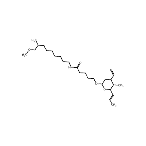 CC=CC1OC(OCCCCC(=O)NCCCCCCCC(C)COC)CC(C=O)C1C